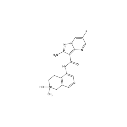 C[N+]1(O)CCc2c(cncc2NC(=O)c2c(N)nn3cc(F)cnc23)C1